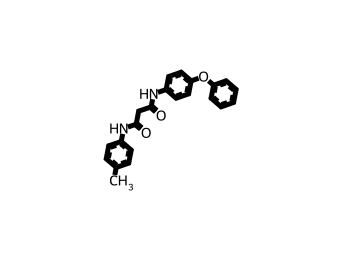 Cc1ccc(NC(=O)CC(=O)Nc2ccc(Oc3ccccc3)cc2)cc1